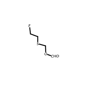 O=[C]OCSCCF